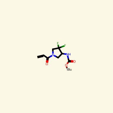 C=CC(=O)N1CC(NC(=O)OC(C)(C)C)C(F)(F)C1